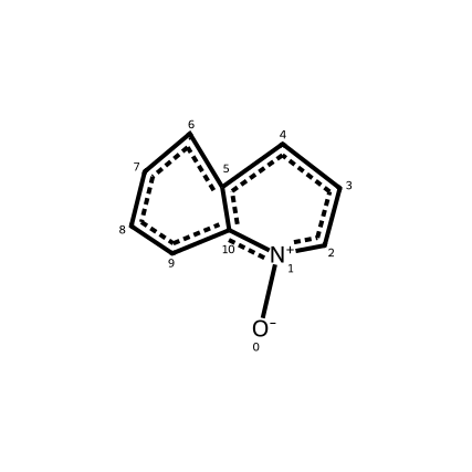 [O-][n+]1cccc2[c]cccc21